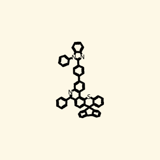 c1ccc(-c2nc3cc(-c4ccc(-c5nc6ccccc6n5-c5ccccc5)cc4)ccc3c3c4c(ccc23)C2(c3ccccc3S4)c3ccccc3-c3ccccc32)cc1